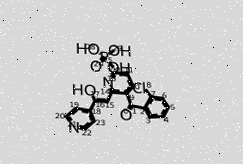 O=C(c1ccccc1Cl)c1cccnc1C=C(O)c1ccncc1.O=P(O)(O)O